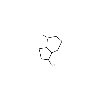 CP1CCCC2C(S)CCC21